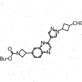 CC(C)(C)OC(=O)N1CC(c2ccc3ncc(-c4cnn(C5CC(C=O)C5)c4)nc3c2)C1